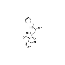 CCCC(CCC(=O)N(C(N)=O)c1ccccc1Cl)NCc1ccccc1